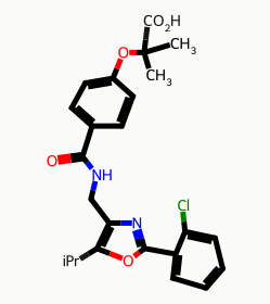 CC(C)c1oc(-c2ccccc2Cl)nc1CNC(=O)c1ccc(OC(C)(C)C(=O)O)cc1